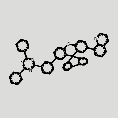 c1ccc(-c2nc(-c3ccccc3)nc(-c3cccc(-c4ccc5c(c4)C4(c6cc(-c7cccc8cccnc78)ccc6S5)c5ccccc5-c5ccccc54)c3)n2)cc1